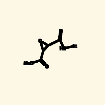 CCNC(=O)C1OC1C(=O)OC